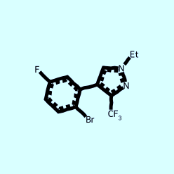 CCn1cc(-c2cc(F)ccc2Br)c(C(F)(F)F)n1